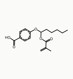 C=C(C)C(=O)OC(CCCCC)Oc1ccc(C(=O)O)cc1